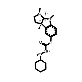 CN1CC[C@@]2(C)c3cc(OC(=O)NNC4CCCCC4)ccc3N(C)[C@H]12